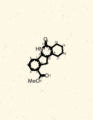 COC(=O)c1cccc2c1Cc1c-2[nH]c(=O)c2c1CCCC2